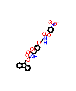 O=C(NC(Cc1ccc(OCCNC(=O)Oc2ccc([N+](=O)[O-])cc2)cc1)C(=O)O)OCC1c2ccccc2-c2ccccc21